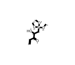 C=CC(=O)C(O)C[Si](OC)(OC)OC